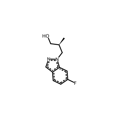 C[C@H](CO)Cn1ncc2ccc(F)cc21